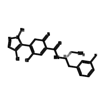 CCn1ncc(Cl)c1C1=C(Cl)C=C(C(=O)N[C@H](CN)Cc2cccc(F)c2)C(=S)C1